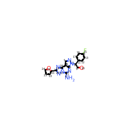 Nc1nc2c(cnn2C(C=O)c2ccc(F)cc2)c2nc(-c3ccco3)nn12